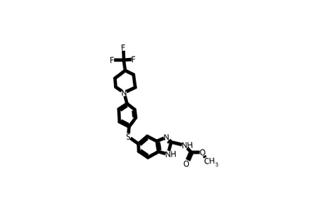 COC(=O)Nc1nc2cc(Sc3ccc(N4CCC(C(F)(F)F)CC4)cc3)ccc2[nH]1